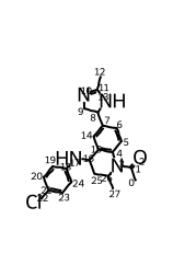 CC(=O)N1c2ccc(C3CN=C(C)N3)cc2C(Nc2ccc(Cl)cc2)CC1C